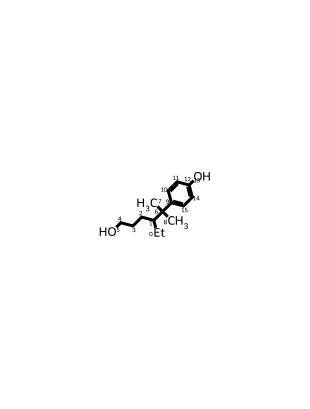 CCC(CCCO)C(C)(C)c1ccc(O)cc1